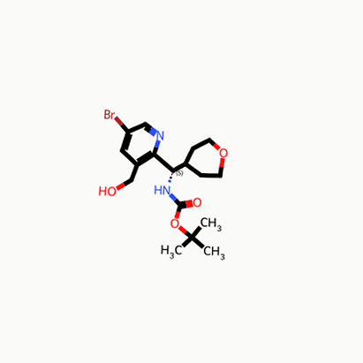 CC(C)(C)OC(=O)N[C@H](c1ncc(Br)cc1CO)C1CCOCC1